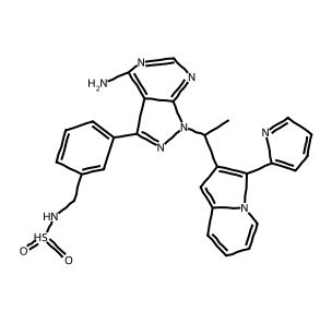 CC(c1cc2ccccn2c1-c1ccccn1)n1nc(-c2cccc(CN[SH](=O)=O)c2)c2c(N)ncnc21